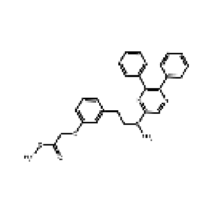 COC(=O)COc1cccc(CCN(C)c2cnc(-c3ccccc3)c(-c3ccccc3)n2)c1